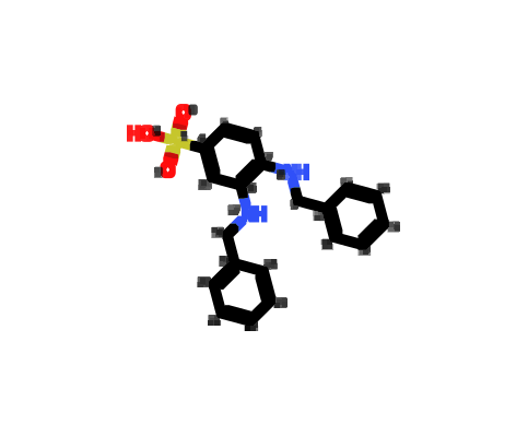 O=S(=O)(O)c1ccc(NCc2ccccc2)c(NCc2ccccc2)c1